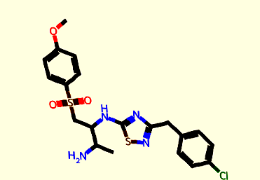 COc1ccc(S(=O)(=O)CC(Nc2nc(Cc3ccc(Cl)cc3)ns2)C(C)N)cc1